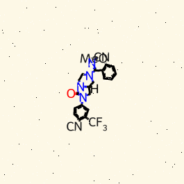 COc1ccccc1/C(=N\C#N)N1CCN2C(=O)N(c3ccc(C#N)c(C(F)(F)F)c3)C[C@@H]2C1